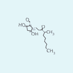 CCCCCCC(C)C(=O)CC[C@H]1[C@@H](C=O)[C@H](O)C[C@@H]1O